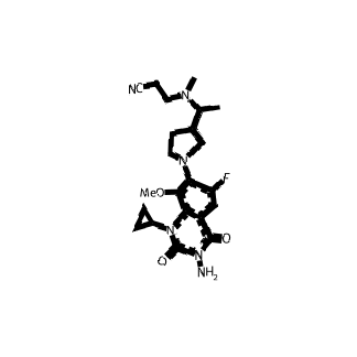 COc1c(N2CCC(C(C)N(C)CCC#N)C2)c(F)cc2c(=O)n(N)c(=O)n(C3CC3)c12